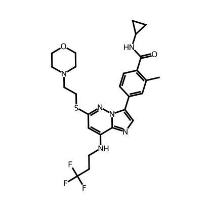 Cc1cc(-c2cnc3c(NCCC(F)(F)F)cc(SCCN4CCOCC4)nn23)ccc1C(=O)NC1CC1